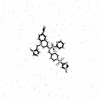 Cn1cnc(S(=O)(=O)N2CCC(CN(C3Cc4cc(C#N)ccc4N(Cc4cncn4C)C3)S(=O)(=O)c3ccccn3)CC2)c1